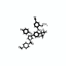 COc1cc(C#N)ccc1COC(c1ccc([C@]2(Sc3ccc(F)cc3)CCN(C(=O)N3CCN(C=O)CC3)C2)cc1)(C(F)(F)F)C(F)(F)F